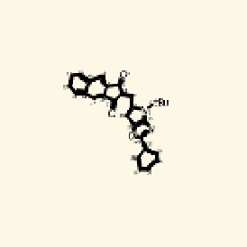 CC(C)(C)n1c(C=C2C(=O)c3cc4ccccc4cc3C2=O)cc2oc(-c3ccccc3)nc21